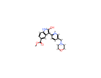 COC(=O)c1ccc2[nH]c(O)c(-c3ccc(CN4CCOCC4)cn3)c2c1